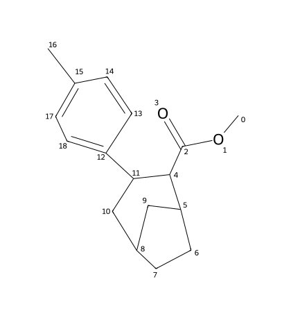 COC(=O)C1C2CCC(C2)CC1c1ccc(C)cc1